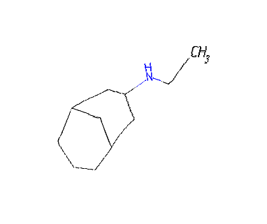 CCNC1CC2CCCC(C2)C1